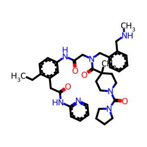 CCc1ccc(NC(=O)CN(Cc2ccccc2CNC)C(=O)C2(C)CCN(C(=O)N3CCCC3)CC2)cc1CC(=O)Nc1ccccn1